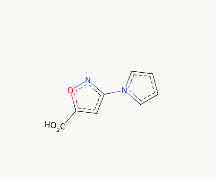 O=C(O)c1cc(-n2cccc2)no1